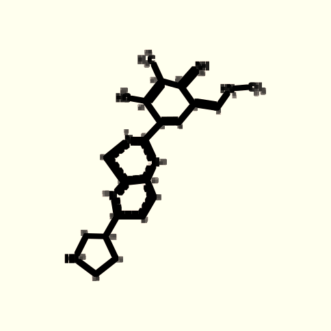 CN/C=C1/C=C(c2ncc3nc(C4CCNC4)ccc3n2)C(O)=C(C)C1=N